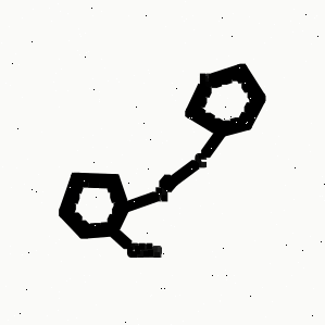 COc1ccccc1N=CCc1cccnc1